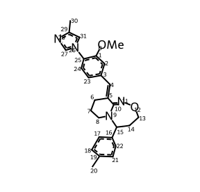 COc1cc(/C=C2\CCCN3C2=NOCCC3c2ccc(C)cc2)ccc1-n1cnc(C)c1